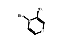 CC(C)(C)C1=COC=CN1C(C)(C)C